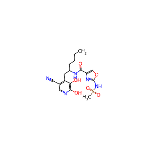 CCCCC(Cc1c(C#N)cnc(O)c1O)NC(=O)c1coc(NS(C)(=O)=O)n1